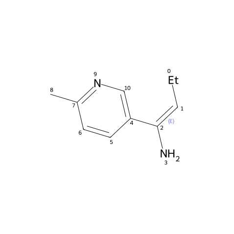 CC/C=C(/N)c1ccc(C)nc1